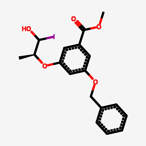 COC(=O)c1cc(OCc2ccccc2)cc(O[C@@H](C)C(O)I)c1